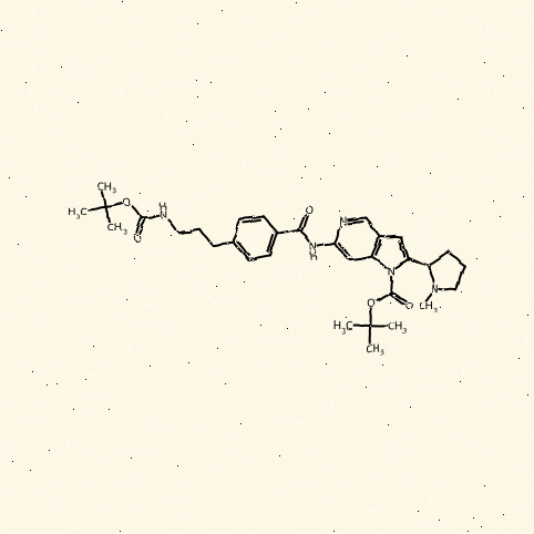 CN1CCC[C@@H]1c1cc2cnc(NC(=O)c3ccc(CCCNC(=O)OC(C)(C)C)cc3)cc2n1C(=O)OC(C)(C)C